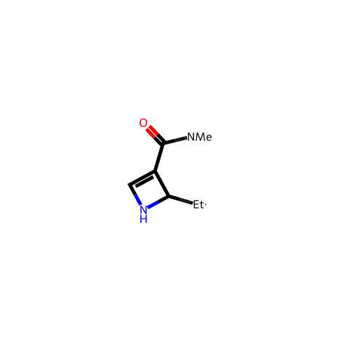 C[CH]C1NC=C1C(=O)NC